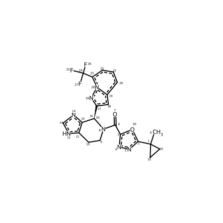 CC1(c2nnc(C(=O)N3CCc4[nH]cnc4[C@H]3c3cc4cccc(C(F)(F)F)n4n3)o2)CC1